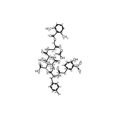 Cc1cccc(C)c1C(=O)OCC(=O)[C@H](CC(=O)O)NC(=O)[C@@H](NC(=O)[C@H](CCC(=O)O)NC(=O)[C@H](Cc1ccc(I)cc1)NC(=O)Cc1ccc(O)c([N+](=O)[O-])c1)C(C)O